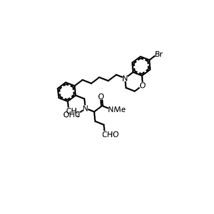 CNC(=O)C(CCC=O)N(C=O)Cc1c(C)cccc1CCCCCN1CCOc2cc(Br)ccc21